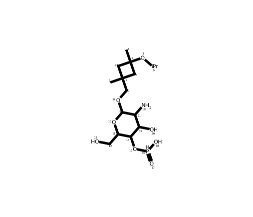 CC(C)OC1(C)CC(C)(COC2OC(CO)C(O[PH](=O)O)C(O)C2N)C1